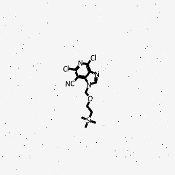 C[Si](C)(C)CCOCn1cnc2c(Cl)nc(Cl)c(C#N)c21